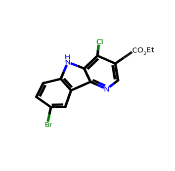 CCOC(=O)c1cnc2c([nH]c3ccc(Br)cc32)c1Cl